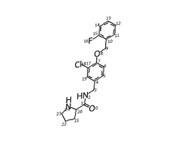 O=C(NCc1ccc(OCc2ccccc2F)c(Cl)c1)C1CCCN1